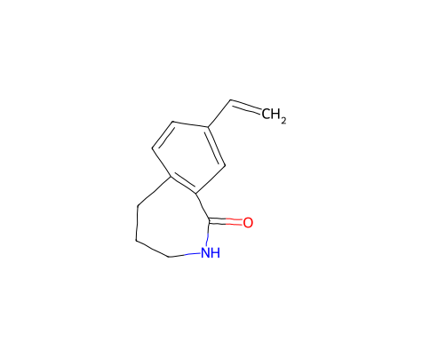 C=Cc1ccc2c(c1)C(=O)NCCC2